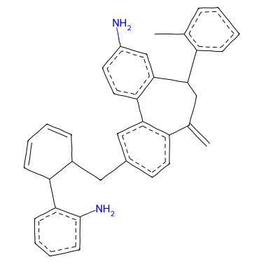 C=C1CC(c2ccccc2C)c2cc(N)ccc2-c2cc(CC3C=CC=CC3c3ccccc3N)ccc21